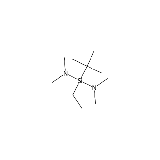 CC[Si](N(C)C)(N(C)C)C(C)(C)C